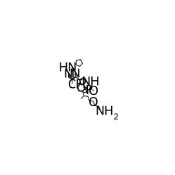 CC(CCOCCN)c1ccc2c(-c3nc(NC4CCCC4)ncc3C(F)(F)F)c[nH]c2c1P(C)(C)=O